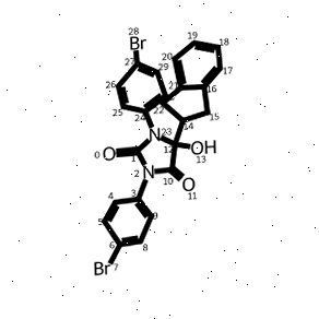 O=C1N(c2ccc(Br)cc2)C(=O)C(O)(C2Cc3ccccc3C2)N1c1ccc(Br)cc1